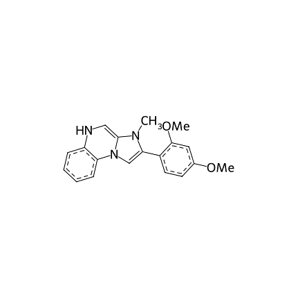 COc1ccc(C2=CN3C(=CNc4ccccc43)N2C)c(OC)c1